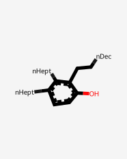 CCCCCCCCCCCCc1c(O)ccc(CCCCCCC)c1CCCCCCC